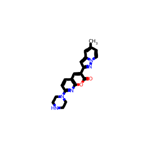 Cc1ccn2nc(-c3cc4ccc(N5CCNCC5)nc4oc3=O)cc2c1